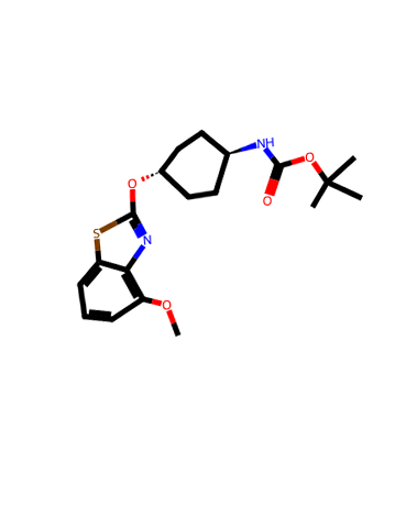 COc1cccc2sc(O[C@H]3CC[C@H](NC(=O)OC(C)(C)C)CC3)nc12